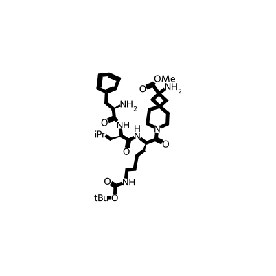 COC(=O)C1(N)CC2(CCN(C(=O)[C@@H](CCCCNC(=O)OC(C)(C)C)NC(=O)[C@@H](CC(C)C)NC(=O)[C@H](N)Cc3ccccc3)CC2)C1